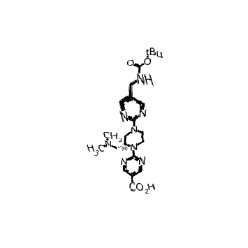 CN(C)C[C@@H]1CN(c2ncc(CNC(=O)OC(C)(C)C)cn2)CCN1c1ncc(C(=O)O)cn1